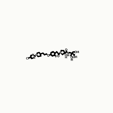 O=C(Cc1ccc(OCCCC2CCN(c3ncc(Cl)cn3)CC2)cc1F)N1CCC(O)(C(=O)NCC(CO)(CO)CO)C1